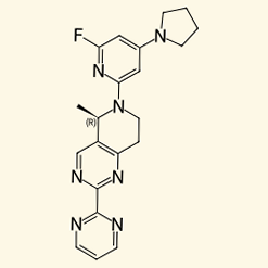 C[C@@H]1c2cnc(-c3ncccn3)nc2CCN1c1cc(N2CCCC2)cc(F)n1